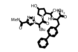 CNC(=O)c1cn(C(C(=O)N2CC(O)CC2C(C=O)NC(Cc2ccc(-c3ccccc3)cc2)C(N)=O)C(C)(C)C)nn1